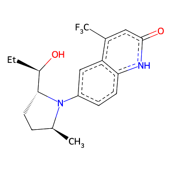 CC[C@@H](O)[C@H]1CC[C@H](C)N1c1ccc2[nH]c(=O)cc(C(F)(F)F)c2c1